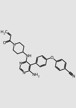 C=CC(=O)N1CCC(Nc2ncnc(N)c2-c2ccc(Oc3ccc(C#N)cc3)cc2)CC1